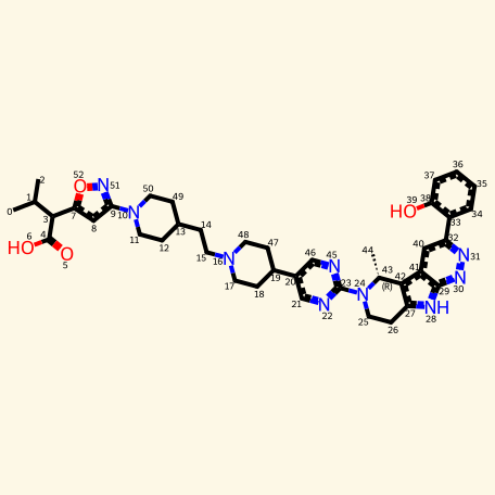 CC(C)C(C(=O)O)c1cc(N2CCC(CCN3CCC(c4cnc(N5CCc6[nH]c7nnc(-c8ccccc8O)cc7c6[C@H]5C)nc4)CC3)CC2)no1